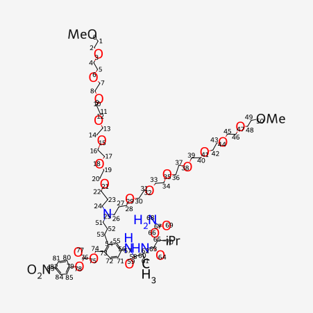 COCCOCCOCCOCCOCCOCCOCCOCCCN(CCCOCCOCCOCCOCCOCCOCCOCCOC)CCCc1cc(NC(=O)[C@H](C)NC(=O)[C@@H](OC(N)=O)C(C)C)ccc1COC(=O)Oc1ccc([N+](=O)[O-])cc1